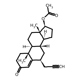 C#CC[C@@H]1C[C@H]2[C@@H]3CC[C@H](OC(C)=O)[C@@]3(C)CC[C@@H]2[C@@]2(C)CCC(=O)C=C12